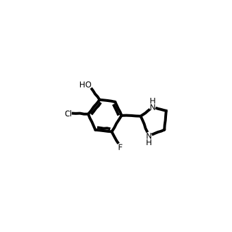 Oc1cc(C2NCCN2)c(F)cc1Cl